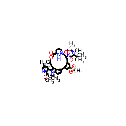 CCn1c(-c2cccnc2[C@H](C)OC)c2c3cc(ccc31)-c1cc(cc(S(C)(=O)=O)c1)C[C@H](NC(=O)C(C(C)C)N(C)C(C)=O)C(=O)N1CCC[C@H](N1)C(=O)OCC(C)(C)C2